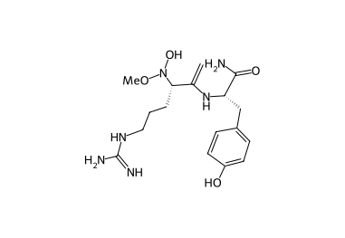 C=C(N[C@@H](Cc1ccc(O)cc1)C(N)=O)[C@H](CCCNC(=N)N)N(O)OC